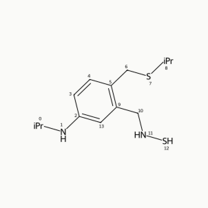 CC(C)Nc1ccc(CSC(C)C)c(CNS)c1